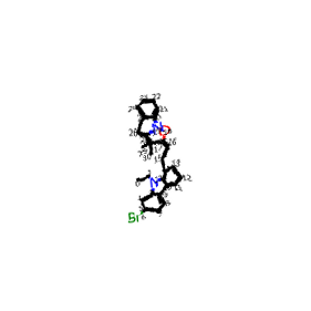 CCn1c2cc(Br)ccc2c2cccc(C=CC3ON4c5ccccc5CC4C3(C)C)c21